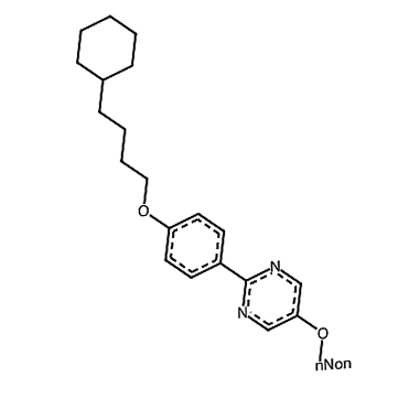 CCCCCCCCCOc1cnc(-c2ccc(OCCCCC3CCCCC3)cc2)nc1